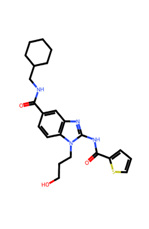 O=C(NCC1CCCCC1)c1ccc2c(c1)nc(NC(=O)c1cccs1)n2CCCO